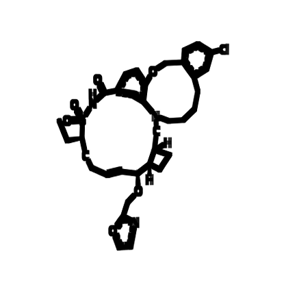 CC[C@@H]1CC/C=C/[C@H](OCc2ncco2)[C@@H]2CC[C@H]2CN2CCCCc3cc(Cl)ccc3COc3ccc(cc32)C(=O)NS1(=O)=O